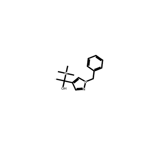 [CH2]C(O)(c1cnn(Cc2ccccc2)c1)[Si](C)(C)C